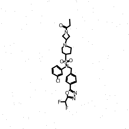 CCC(=O)N1CC(N2CCC(S(=O)(=O)N(Cc3ccc(-c4nnc(C(F)F)o4)cc3)c3cccc(Cl)c3)CC2)C1